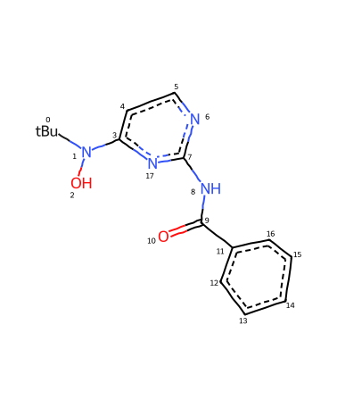 CC(C)(C)N(O)c1ccnc(NC(=O)c2ccccc2)n1